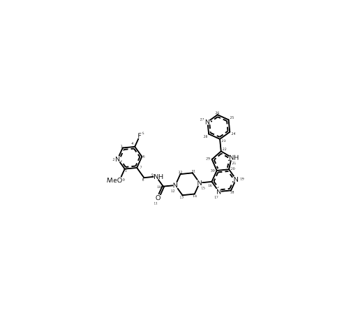 COc1ncc(F)cc1CNC(=O)N1CCN(c2ncnc3[nH]c(-c4cccnc4)cc23)CC1